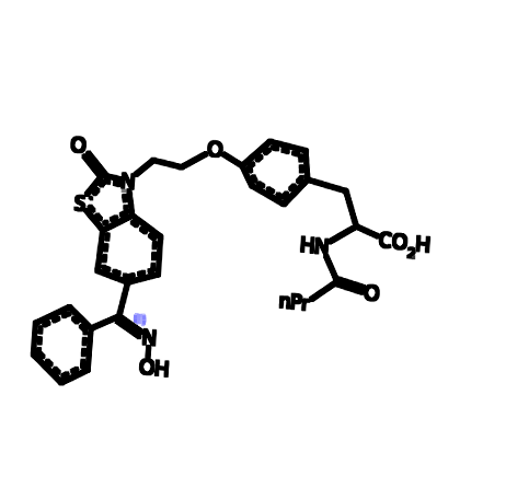 CCCC(=O)NC(Cc1ccc(OCCn2c(=O)sc3cc(/C(=N/O)c4ccccc4)ccc32)cc1)C(=O)O